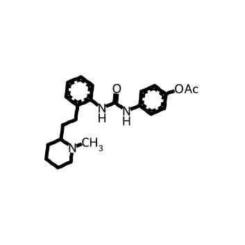 CC(=O)Oc1ccc(NC(=O)Nc2ccccc2CCC2CCCCN2C)cc1